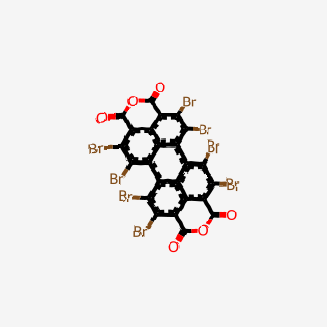 O=C1OC(=O)c2c(Br)c(Br)c3c4c(Br)c(Br)c5c6c(c(Br)c(Br)c(c7c(Br)c(Br)c1c2c73)c64)C(=O)OC5=O